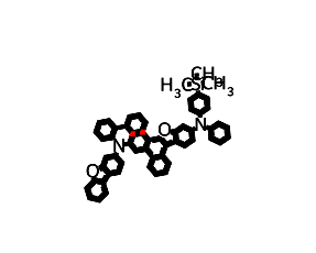 C[Si](C)(C)c1ccc(N(c2ccccc2)c2ccc3c(c2)oc2c4ccc(N(c5ccc6c(c5)oc5ccccc56)c5ccccc5-c5ccccc5)cc4c4ccccc4c32)cc1